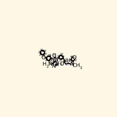 CN(C/C=C/C(=O)Nc1cccc(-n2c(=O)n(-c3ccc(Oc4ccccc4)cc3)c3c(N)ncnc32)c1)[C@H]1CCOC1